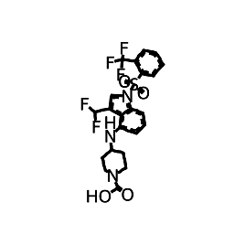 O=C(O)N1CCC(Nc2cccc3c2c(C(F)F)cn3S(=O)(=O)c2ccccc2C(F)(F)F)CC1